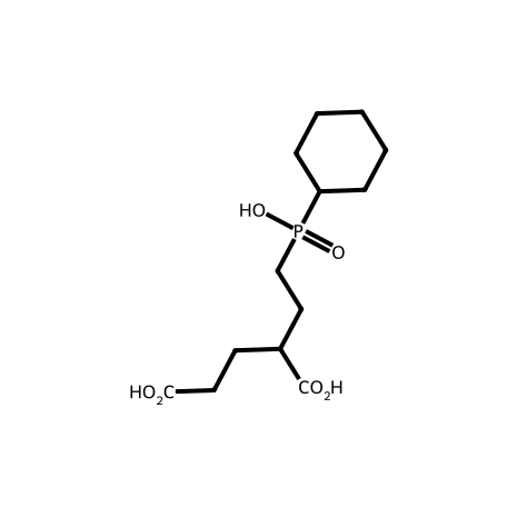 O=C(O)CCC(CCP(=O)(O)C1CCCCC1)C(=O)O